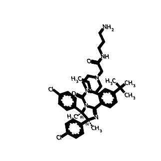 CCOc1cc(C(C)(C)C)ccc1C1=N[C@@](C)(c2ccc(Cl)cc2)[C@@](C)(c2ccc(Cl)cc2)N1C(=O)N1CCN(CC(=O)NCCCN)CC1